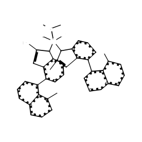 Cc1cccc2cccc(-c3cccc4c3C=C(C(C)C)[CH]4[Zr]([Cl])([Cl])([CH]3C(C(C)C)=Cc4c(-c5cccc6cccc(C)c56)cccc43)[SiH](C)C)c12